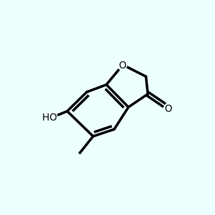 Cc1cc2c(cc1O)OCC2=O